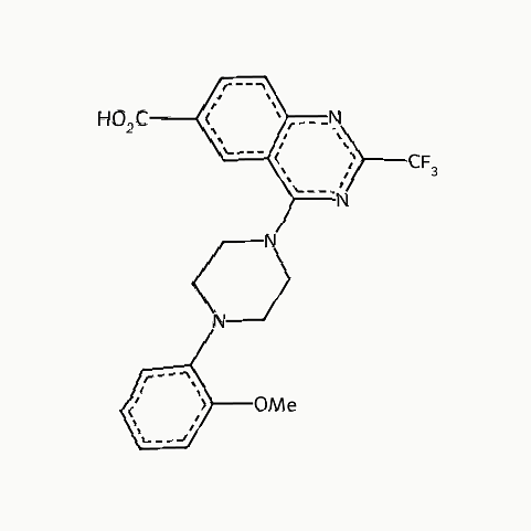 COc1ccccc1N1CCN(c2nc(C(F)(F)F)nc3ccc(C(=O)O)cc23)CC1